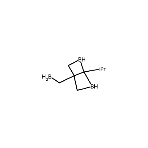 BCC12CBC1(C(C)C)BC2